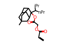 C=CC(=O)OCC(=O)OC1(C(CCC)C(C)C)C2CC3CC1CC(C)(C3)C2